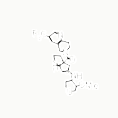 COC1COCCC1N[C@@H]1C[C@H]2SCC[C@]2(C(=O)N2CCc3ncc(C(F)(F)F)cc3C2)C1